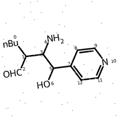 CCCCC(C=O)C(N)C(O)c1ccncc1